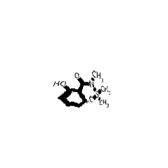 CN(C(=O)c1ccccc1O)S(C)(C)C